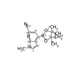 Cn1ccc2c(B3OC(C)(C)C(C)(C)O3)cc(C#N)nc21